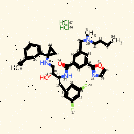 C#Cc1cccc(C2(NC[C@@H](O)[C@H](Cc3cc(F)cc(F)c3)NC(=O)c3cc(CN(C)CCCC)cc(-c4ncco4)c3)CC2)c1.Cl.Cl